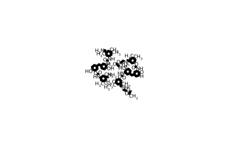 C=C1COC(CNCC2(C)CC(OC(=O)NC3CC(CC4CCC(O)C(NC(=O)OC5CC(C)(C)CC(C)(CNCC6OCC(=C)O6)C5)C4)CCC3O)CC(C)(C)C2)O1.CC1(C)CC(NC(=O)OC2CC(CC3CCC(O)C(OC(=O)NC4CC(C)(C)CC(C)(CN)C4)C3)CCC2O)CC(C)(CN)C1